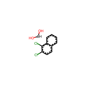 Clc1ccc2ccccc2c1Cl.OBO